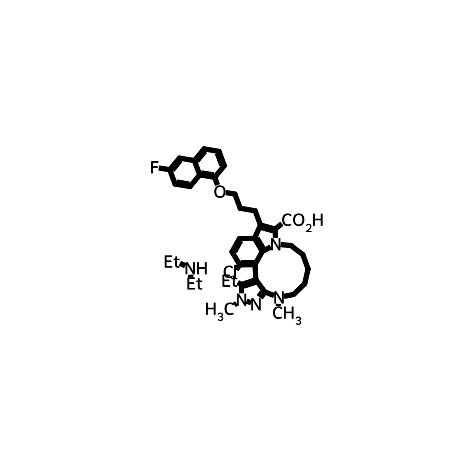 CCNCC.CCc1c2c(nn1C)N(C)CCCCCn1c(C(=O)O)c(CCCOc3cccc4cc(F)ccc34)c3ccc(Cl)c-2c31